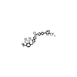 Cc1c(CN2CC3(C2)CN(C(=O)N2CC4(CC(n5cnc(C(F)(F)F)n5)C4)C2)C3)ccc(P=O)c1C